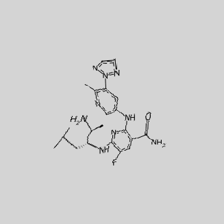 Cc1ncc(Nc2nc(N[C@H](CC(C)C)[C@H](C)N)c(F)cc2C(N)=O)cc1-n1nccn1